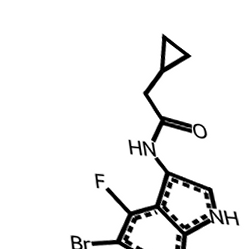 O=C(CC1CC1)Nc1c[nH]c2ncc(Br)c(F)c12